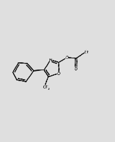 CCC(=O)Oc1nc(-c2ccccc2)c(C(F)(F)F)o1